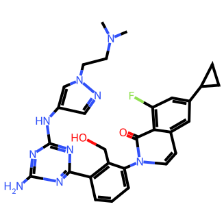 CN(C)CCn1cc(Nc2nc(N)nc(-c3cccc(-n4ccc5cc(C6CC6)cc(F)c5c4=O)c3CO)n2)cn1